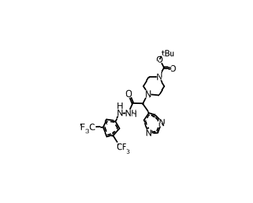 CC(C)(C)OC(=O)N1CCN(C(C(=O)NNc2cc(C(F)(F)F)cc(C(F)(F)F)c2)c2cncnc2)CC1